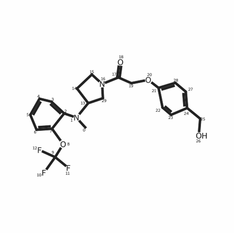 CN(c1ccccc1OC(F)(F)F)C1CCN(C(=O)COc2ccc(CO)cc2)C1